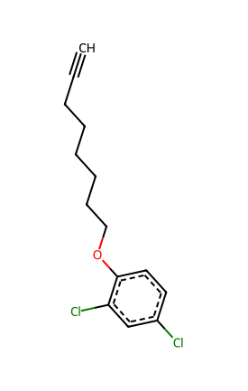 C#CCCCCCCOc1ccc(Cl)cc1Cl